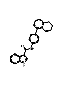 O=C(Nc1ccc(-c2cccc3c2C=CCC3)cc1)c1c[nH]c2ccccc12